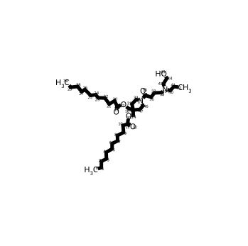 CCCCCCCCCCCC(=O)OCC1(COC(=O)CCCCCCCCCCC)CCN(C(=O)CCCN(CCC)CCO)CC1